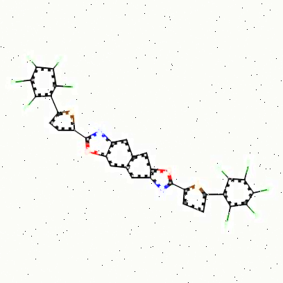 Fc1c(F)c(F)c(-c2ccc(-c3nc4cc5cc6oc(-c7ccc(-c8c(F)c(F)c(F)c(F)c8F)s7)nc6cc5cc4o3)s2)c(F)c1F